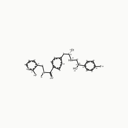 CC[C@@H](Cc1ccc(C(=O)N(C)Cc2cccnc2F)cc1)NC[C@H](O)c1ccc(F)cc1